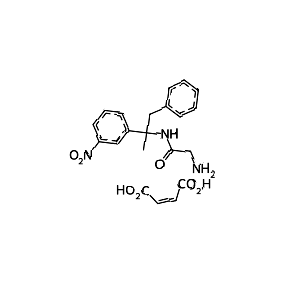 CC(Cc1ccccc1)(NC(=O)CN)c1cccc([N+](=O)[O-])c1.O=C(O)/C=C\C(=O)O